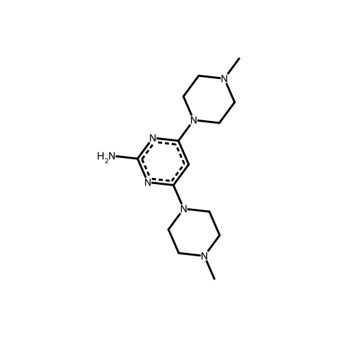 CN1CCN(c2cc(N3CCN(C)CC3)nc(N)n2)CC1